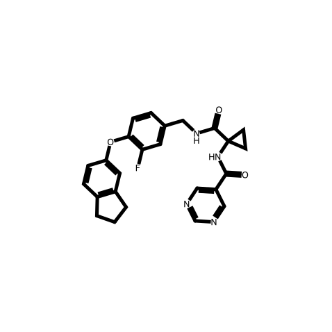 O=C(NC1(C(=O)NCc2ccc(Oc3ccc4c(c3)CCC4)c(F)c2)CC1)c1cncnc1